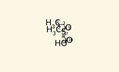 CC(C)CC(=O)SCCC(=O)O